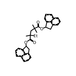 CCC(C)(CC(C)(C)C(=O)OC1Cc2cccc3cccc1c23)C(=O)OC1Cc2cccc3cccc1c23